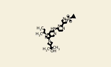 CC[C@H](C)n1nc(N2CC(C(C)(C)O)C2)c2cnc(Nc3ccnc(-c4cnn(S(=O)(=O)C5CC5)c4)n3)cc21